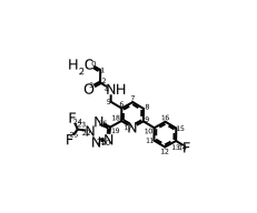 C=CC(=O)NCc1ccc(-c2ccc(F)cc2)nc1-c1nnn(C(F)F)n1